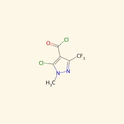 Cn1nc(C(F)(F)F)c(C(=O)Cl)c1Cl